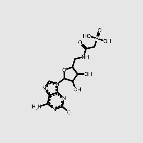 Nc1nc(Cl)nc2c1ncn2C1OC(CNC(=O)CP(=O)(O)O)C(O)C1O